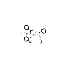 Cc1c(-c2ccccc2Cl)c(=O)n(C[C@@H](NCCCC(=O)O)c2ccccc2)c(=O)n1Cc1c(F)cccc1C(F)(F)F